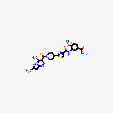 COc1ccc(C(N)=O)cc1NC(=O)c1csc(C2CCN(C(=O)c3nnc4cc(C)nn4c3C)CC2)n1